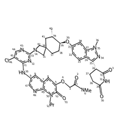 CNC(=O)COc1cc2cc(Nc3nc(N4CC5(CC[C@H](Oc6ccc7c([C@H]8CCC(=O)NC8=O)nn(C)c7c6)[C@@H](C)C5)C4)ncc3Cl)cnc2n(C(C)C)c1=O